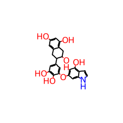 Oc1cc(O)c2c(c1)CC(c1cc(O)c(O)c(Oc3cc(O)c4cc[nH]c4c3)c1)C(O)C2